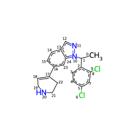 CC(c1ccc(Cl)cc1Cl)n1ncc2ccc(C3=CCNCC3)cc21